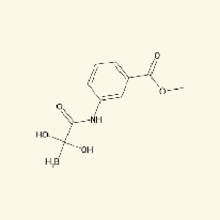 BC(O)(O)C(=O)Nc1cccc(C(=O)OC)c1